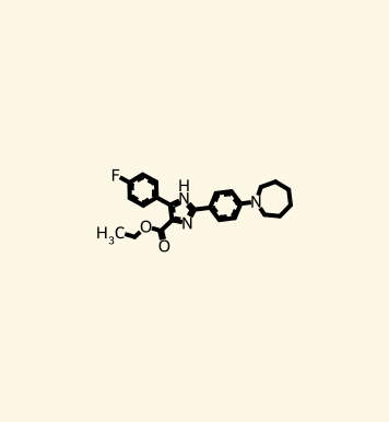 CCOC(=O)c1nc(-c2ccc(N3CCCCCC3)cc2)[nH]c1-c1ccc(F)cc1